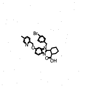 Cc1ccc(COc2ccc3nc(C4CCCCC4C(=O)O)n(Cc4ccc(Br)cc4)c3c2)nc1